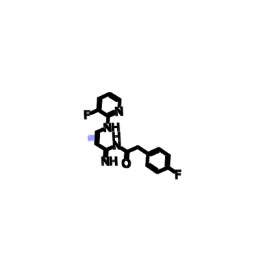 N=C(/C=C\Nc1ncccc1F)NC(=O)Cc1ccc(F)cc1